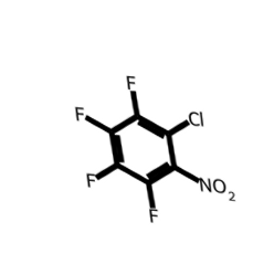 O=[N+]([O-])c1c(F)c(F)c(F)c(F)c1Cl